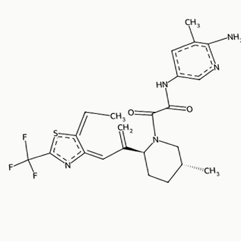 C=C(/C=c1/nc(C(F)(F)F)s/c1=C/C)[C@@H]1CC[C@@H](C)CN1C(=O)C(=O)Nc1cnc(N)c(C)c1